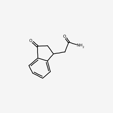 NC(=O)CC1CC(=O)c2ccccc21